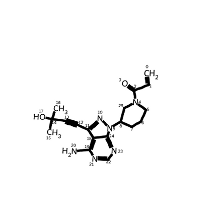 C=CC(=O)N1CCCC(n2nc(C#CC(C)(C)O)c3c(N)ncnc32)C1